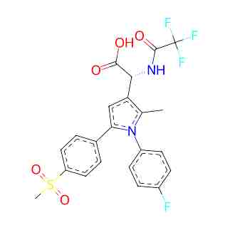 Cc1c([C@@H](NC(=O)C(F)(F)F)C(=O)O)cc(-c2ccc(S(C)(=O)=O)cc2)n1-c1ccc(F)cc1